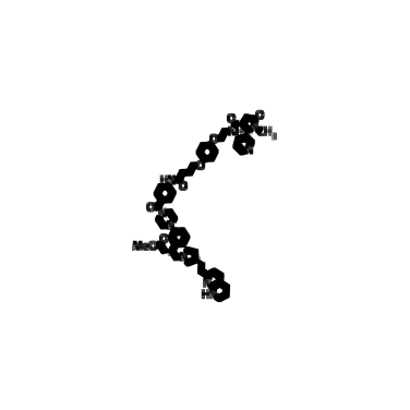 COC(=O)C[C@H](CN1CC[C@@H](CCc2ccc3c(n2)NCCC3)C1)c1cccc(N2CCN(C(=O)C3CCC(NC(=O)CCCOC4CCC(OCCNC(=O)[C@H]5CC(=O)N(C)[C@@H]5c5cccnc5)CC4)CC3)CC2)c1